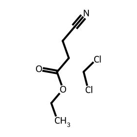 CCOC(=O)CCC#N.ClCCl